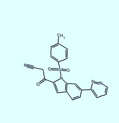 Cc1ccc(S(=O)(=O)n2c(C(=O)CC#N)cc3ccc(-c4cccnn4)cc32)cc1